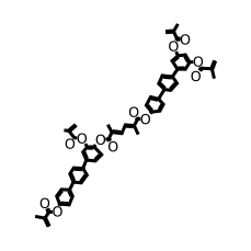 C=C(C)C(=O)Oc1ccc(-c2ccc(-c3ccc(OC(=O)/C(C)=C/C=C(\C)C(=O)Oc4ccc(-c5ccc(-c6cc(OC(=O)C(=C)C)cc(OC(=O)C(=C)C)c6)cc5)cc4)c(OC(=O)C(=C)C)c3)cc2)cc1